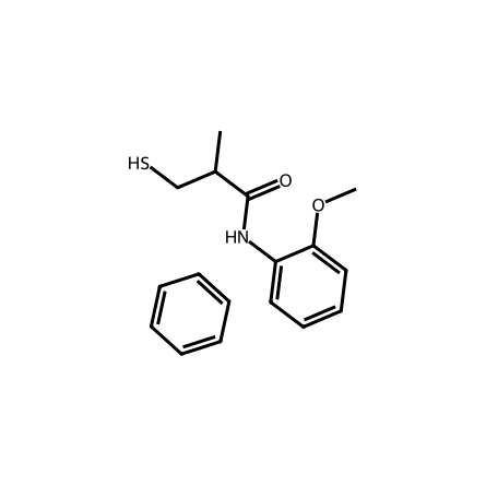 COc1ccccc1NC(=O)C(C)CS.c1ccccc1